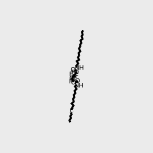 CCCCCCCCCCCCCCCCCCNC(=O)OC(F)(F)OC(F)(F)C(F)(F)OC(=O)NCCCCCCCCCCCCCCCCCC